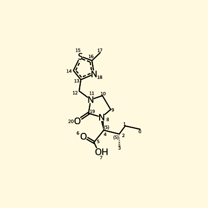 CC[C@H](C)[C@@H](C(=O)O)N1CCN(Cc2csc(C)n2)C1=O